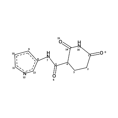 O=C1CCC(C(=O)Nc2cccnc2)C(=O)N1